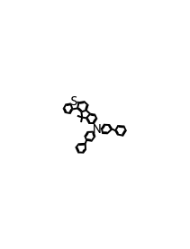 CC1(C)c2cc(N(c3ccc(-c4ccccc4)cc3)c3ccc(-c4ccccc4)cc3)ccc2-c2ccc3sc4ccccc4c3c21